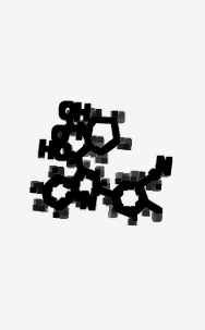 Cc1ccc(-c2cc([C@@H](O)[C@@H]3CCCCN3C(=O)O)c3ccccc3n2)cc1C#N